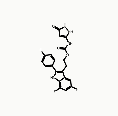 O=C(Nc1cc(=O)[nH][nH]1)OCCc1c(-c2ccc(F)cc2)[nH]c2c(F)cc(F)cc12